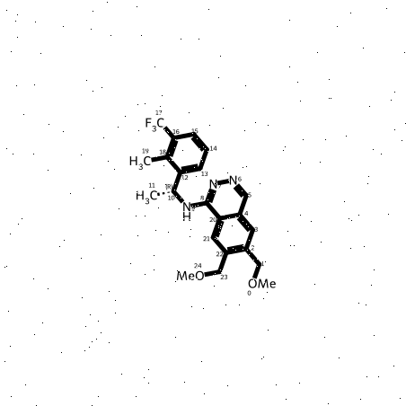 COCc1cc2cnnc(N[C@H](C)c3cccc(C(F)(F)F)c3C)c2cc1COC